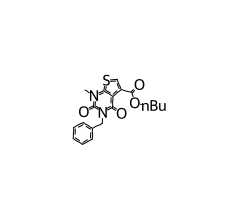 CCCCOC(=O)c1csc2c1c(=O)n(Cc1ccccc1)c(=O)n2C